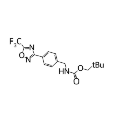 CC(C)(C)COC(=O)NCc1ccc(-c2noc(C(F)(F)F)n2)cc1